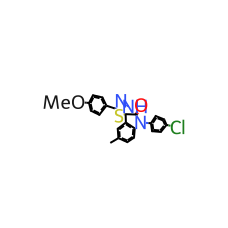 COc1ccc(C2=NNC3(S2)C(=O)N(c2ccc(Cl)cc2)c2ccc(C)cc23)cc1